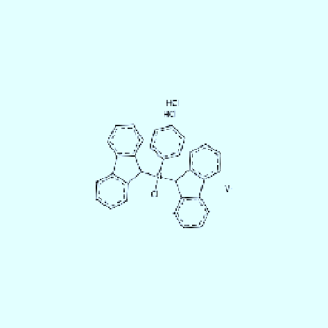 Cl.Cl.Cl[Si](c1ccccc1)(C1c2ccccc2-c2ccccc21)C1c2ccccc2-c2ccccc21.[V]